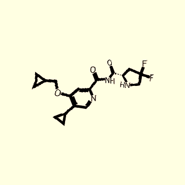 O=C(NC(=O)[C@@H]1CC(F)(F)CN1)c1cc(OCC2CC2)c(C2CC2)cn1